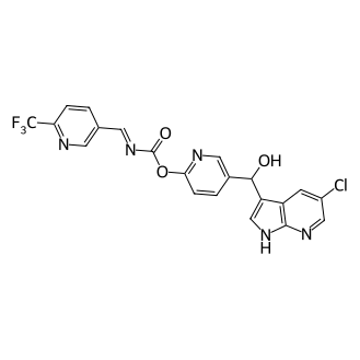 O=C(N=Cc1ccc(C(F)(F)F)nc1)Oc1ccc(C(O)c2c[nH]c3ncc(Cl)cc23)cn1